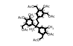 CC(=O)OCc1cc(C(C)(CCc2cc(COC(C)=O)c(OC(C)=O)c(COC(C)=O)c2)c2cc(C)c(OC(C)=O)c(COC(C)=O)c2)cc(C)c1OC(C)=O